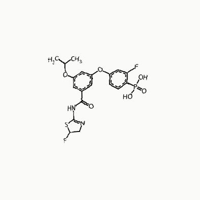 CC(C)Oc1cc(Oc2ccc(P(=O)(O)O)c(F)c2)cc(C(=O)NC2=NCC(F)S2)c1